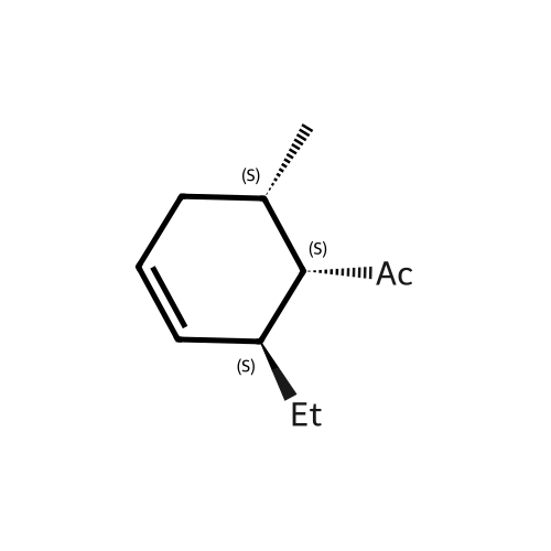 CC[C@H]1C=CC[C@H](C)[C@@H]1C(C)=O